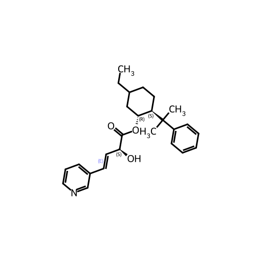 CCC1CC[C@@H](C(C)(C)c2ccccc2)[C@H](OC(=O)[C@@H](O)/C=C/c2cccnc2)C1